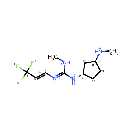 CN/C(=N\C=C\C(F)(F)F)N[C@H]1CC[C@H](NC)C1